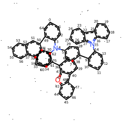 c1ccc(N(c2ccc(-c3ccccc3-n3c4ccccc4c4ccccc43)cc2)c2ccccc2-c2cccc3c2oc2ccccc23)c(-c2cc3ccccc3c3ccccc23)c1